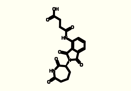 O=C(O)CCC(=O)Nc1cccc2c1C(=O)N([C@H]1CCCC(=O)NC1=O)C2=O